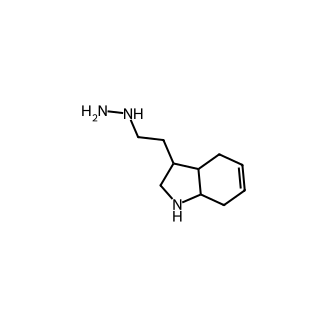 NNCCC1CNC2CC=CCC12